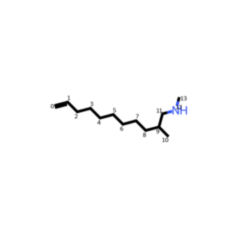 C=CCCCCCCCC(C)CNC